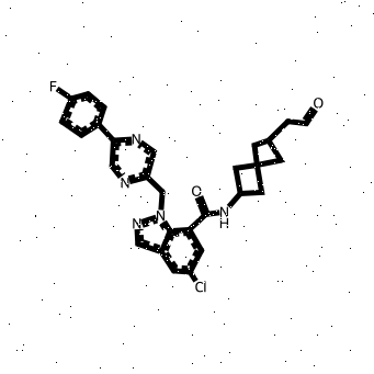 O=CCC1CC2(C1)CC(NC(=O)c1cc(Cl)cc3cnn(Cc4cnc(-c5ccc(F)cc5)cn4)c13)C2